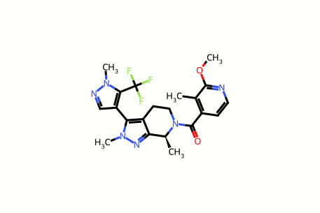 COc1nccc(C(=O)N2CCc3c(nn(C)c3-c3cnn(C)c3C(F)(F)F)[C@@H]2C)c1C